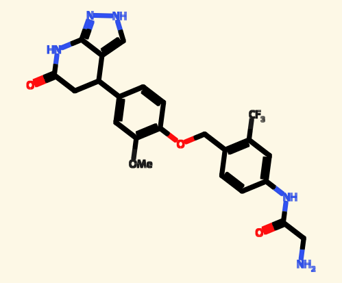 COc1cc(C2CC(=O)Nc3n[nH]cc32)ccc1OCc1ccc(NC(=O)CN)cc1C(F)(F)F